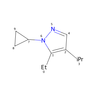 CCc1c(C(C)C)cnn1C1CC1